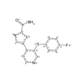 BC(=O)c1ncc(-c2ccncc2Sc2ccc(F)cc2)s1